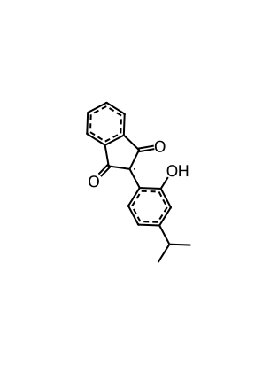 CC(C)c1ccc([C]2C(=O)c3ccccc3C2=O)c(O)c1